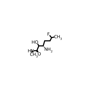 CNC(=O)C(O)[C@@H](N)CCC(C)F